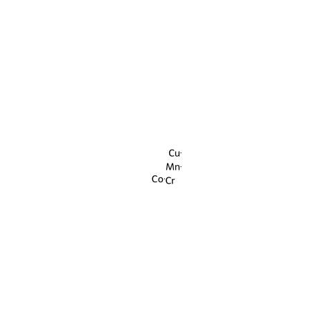 [Co].[Cr].[Cu].[Mn]